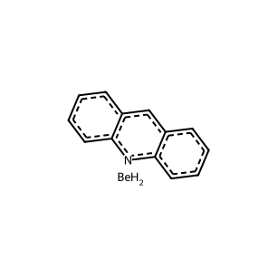 [BeH2].c1ccc2nc3ccccc3cc2c1